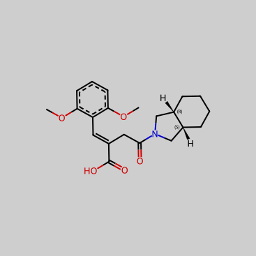 COc1cccc(OC)c1C=C(CC(=O)N1C[C@H]2CCCC[C@H]2C1)C(=O)O